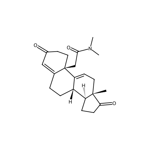 CN(C)C(=O)C[C@]12CCC(=O)C=C1CC[C@@H]1C2=CC[C@]2(C)C(=O)CC[C@@H]12